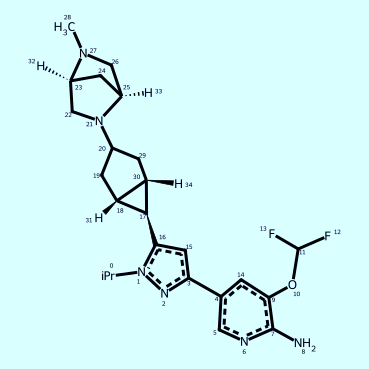 CC(C)n1nc(-c2cnc(N)c(OC(F)F)c2)cc1[C@H]1[C@@H]2CC(N3C[C@@H]4C[C@H]3CN4C)C[C@@H]21